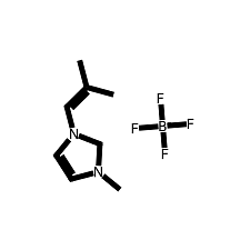 CC(C)=CN1C=CN(C)C1.F[B-](F)(F)F